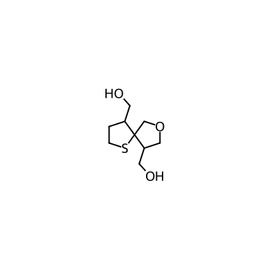 OCC1CCSC12COCC2CO